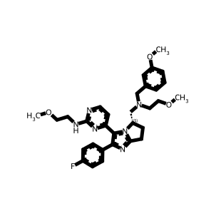 COCCNc1nccc(-c2c(-c3ccc(F)cc3)nc3n2[C@H](CN(CCOC)Cc2cccc(OC)c2)CC3)n1